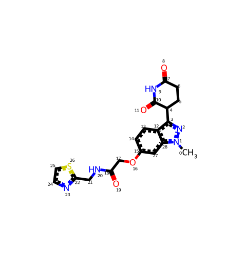 Cn1nc(C2CCC(=O)NC2=O)c2ccc(OCC(=O)NCc3nccs3)cc21